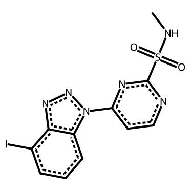 CNS(=O)(=O)c1nccc(-n2nnc3c(I)cccc32)n1